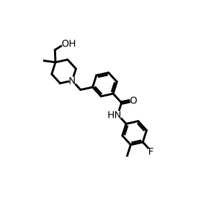 Cc1cc(NC(=O)c2cccc(CN3CCC(C)(CO)CC3)c2)ccc1F